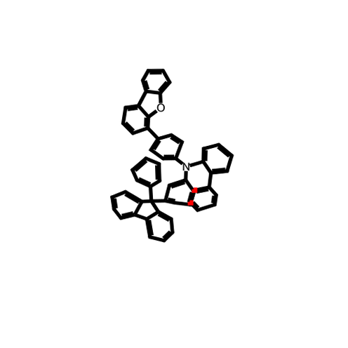 c1ccc(-c2ccccc2N(c2ccc(-c3cccc4c3oc3ccccc34)cc2)c2cccc(C3(c4ccccc4)c4ccccc4-c4ccccc43)c2)cc1